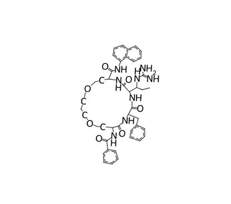 CCC(NC(=N)N)C1NC(=O)C(Cc2ccccc2)NC(=O)C(NC(=O)c2ccccc2)CCOCCCCOCCC(C(=O)Nc2cccc3ccccc23)NC1=O